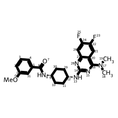 COc1cccc(C(=O)N[C@H]2CC[C@@H](Nc3nc(N(C)C)c4cc(F)c(F)cc4n3)CC2)c1